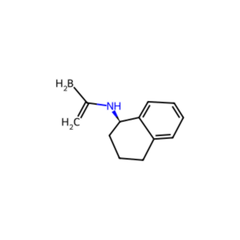 BC(=C)N[C@@H]1CCCc2ccccc21